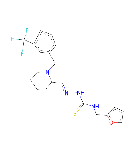 FC(F)(F)c1cccc(CN2CCCCC2/C=N/NC(=S)NCc2ccco2)c1